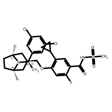 C[C@H](c1cc(Cl)cc(Cl)c1)N1[C@@H]2CC[C@H]1C[C@@H](COc1cc(F)c(C(=O)NS(C)(=O)=O)cc1C1CC1)C2